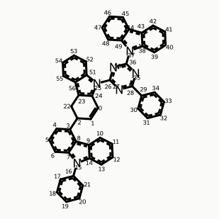 C1=CC(c2cccc3c2c2ccccc2n3-c2ccccc2)Cc2c1n(-c1nc(-c3ccccc3)nc(-n3c4ccccc4c4ccccc43)n1)c1ccccc21